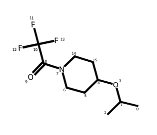 CC(C)OC1CCN(C(=O)C(F)(F)F)CC1